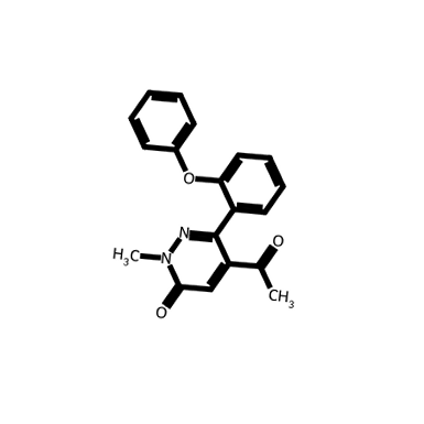 CC(=O)c1cc(=O)n(C)nc1-c1ccccc1Oc1ccccc1